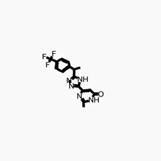 Cc1nc(-c2nnc(C(C)c3ccc(C(F)(F)F)cc3)[nH]2)cc(=O)[nH]1